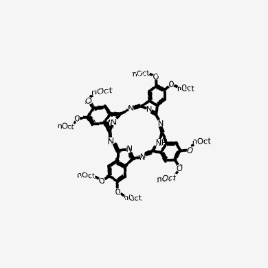 CCCCCCCCOc1cc2c(cc1OCCCCCCCC)-c1nc-2nc2[nH]c(nc3nc(nc4[nH]c(n1)c1cc(OCCCCCCCC)c(OCCCCCCCC)cc41)-c1cc(OCCCCCCCC)c(OCCCCCCCC)cc1-3)c1cc(OCCCCCCCC)c(OCCCCCCCC)cc21